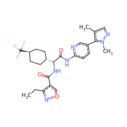 CCc1nocc1C(=O)NC(C(=O)Nc1ccc(-c2c(C)cnn2C)cn1)[C@H]1CC[C@H](C(F)(F)F)CC1